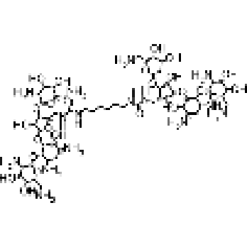 NCC1O[C@H](OC2C(N)C[C@@H](N)C(O)[C@H]2O[C@@H]2O[C@H](CNC(=O)NCCCCCCNC(=O)NC[C@H]3O[C@@H](OC4C(O[C@@H]5OC(CN)C(O)[C@H](O)C5N)C(N)C[C@H](N)[C@@H]4O)C(O)C3O[C@@H]3O[C@H](CN)C(O)C(O)C3N)C(O[C@@H]3CC(O)C(O)[C@H](CN)O3)[C@@H]2O)C(N)[C@@H](O)C1O